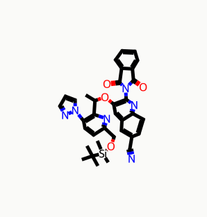 CC(Oc1cc2cc(C#N)ccc2nc1N1C(=O)c2ccccc2C1=O)c1nc(CO[Si](C)(C)C(C)(C)C)ccc1-n1cccn1